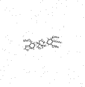 COc1cc([C@H]2OC[C@@H]3[C@H]2CO[C@@H]3c2cc(OC)c3c(c2)OCO3)cc(OC)c1OC